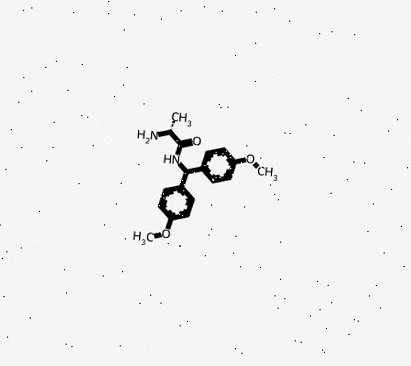 COc1ccc(C(NC(=O)[C@@H](C)N)c2ccc(OC)cc2)cc1